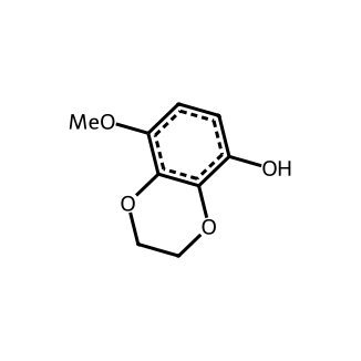 COc1ccc(O)c2c1OCCO2